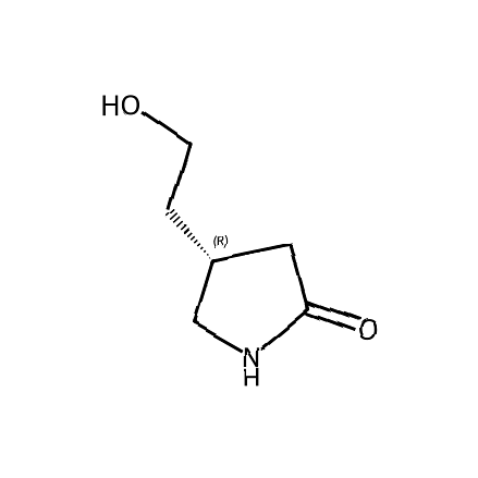 O=C1C[C@@H](CCO)CN1